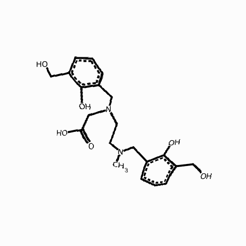 CN(CCN(CC(=O)O)Cc1cccc(CO)c1O)Cc1cccc(CO)c1O